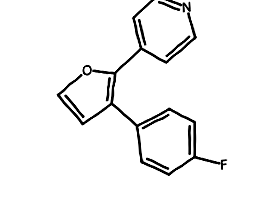 Fc1ccc(-c2ccoc2-c2ccncc2)cc1